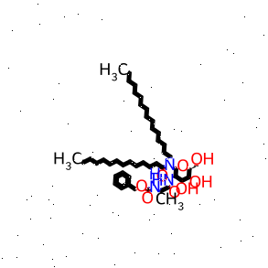 CCCCCCCCCCCCCCCCN(C(=O)CCCCCCCCCCCCC)[C@@H]1O[C@H](CO)[C@@H](O)[C@H](O)[C@H]1NC(=O)[C@H](C)NC(=O)OCc1ccccc1